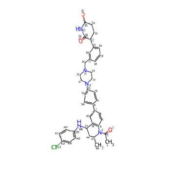 CC(=O)N1c2ccc(-c3ccc(N4CCN(Cc5cccc(C6CCC(=O)NC6=O)c5)CC4)cc3)cc2C(Nc2ccc(Cl)cc2)CC1C